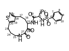 CC(C)C(NS(=O)(=O)c1ccccc1)C(=O)NC1CCc2cc(sn2)CCCNC(=O)C1=O